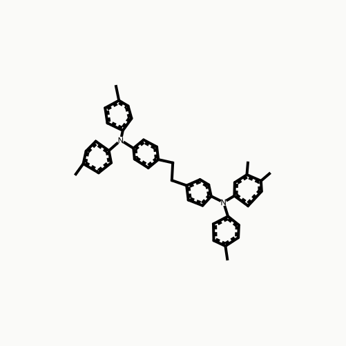 Cc1ccc(N(c2ccc(C)cc2)c2ccc(CCc3ccc(N(c4ccc(C)cc4)c4ccc(C)c(C)c4)cc3)cc2)cc1